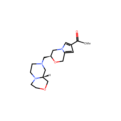 COC(=O)c1cc2n(c1)C[C@H](CN1CCN3CCOC[C@H]3C1)OC2